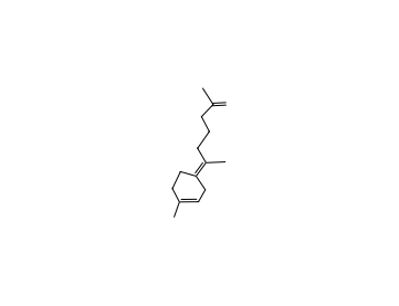 C=C(C)CCC/C(C)=C1/CC=C(C)CC1